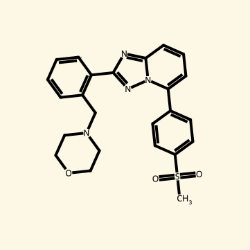 CS(=O)(=O)c1ccc(-c2cccc3nc(-c4[c]cccc4CN4CCOCC4)nn23)cc1